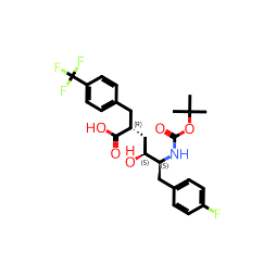 CC(C)(C)OC(=O)N[C@@H](Cc1ccc(F)cc1)[C@@H](O)C[C@@H](Cc1ccc(C(F)(F)F)cc1)C(=O)O